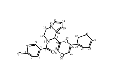 O=C(c1ccc(F)cc1)N1CCn2cccc2C1C1=COC=C(C2=CC=CCC2)O1